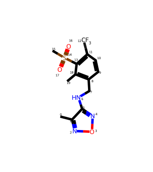 Cc1nonc1NCc1ccc(C(F)(F)F)c(S(C)(=O)=O)c1C